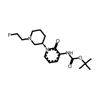 CC(C)(C)OC(=O)Nc1cccn([C@@H]2CCCN(CCF)C2)c1=O